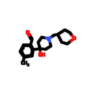 Cc1ccc(C=O)c(C2(O)CCN(CC3CCOCC3)CC2)c1